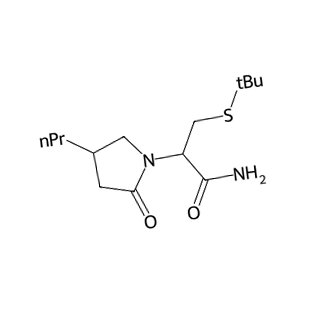 CCCC1CC(=O)N(C(CSC(C)(C)C)C(N)=O)C1